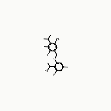 Cc1cc(F)c(C(C)S)c(OCc2cc(O)c(C(C)C)c(F)c2F)c1